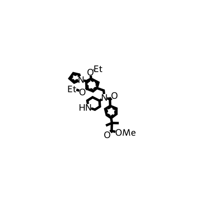 CCOc1cc(CN(C(=O)c2ccc(C(C)(C)C(=O)OC)cc2)C2CCNCC2)cc(OCC)c1-n1cccc1